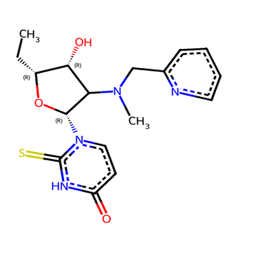 CC[C@H]1O[C@@H](n2ccc(=O)[nH]c2=S)C(N(C)Cc2ccccn2)[C@H]1O